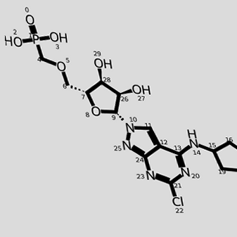 O=P(O)(O)COC[C@H]1O[C@@H](n2cc3c(NC4CCCC4)nc(Cl)nc3n2)[C@H](O)[C@@H]1O